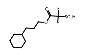 O=C(OCCCC1CCCCC1)C(F)(F)S(=O)(=O)O